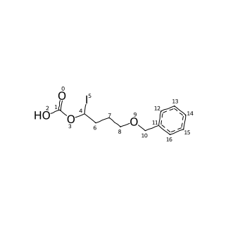 O=C(O)OC(I)CCCOCc1ccccc1